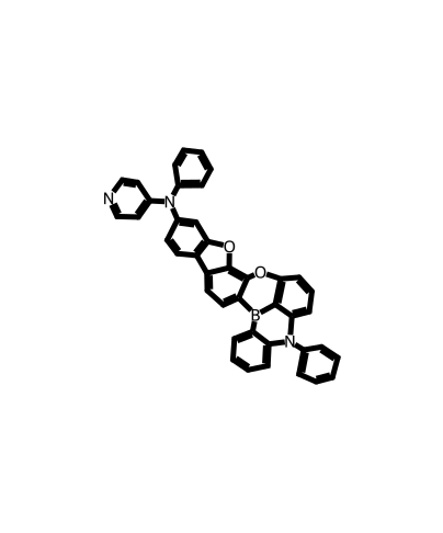 c1ccc(N(c2ccncc2)c2ccc3c(c2)oc2c4c(ccc23)B2c3ccccc3N(c3ccccc3)c3cccc(c32)O4)cc1